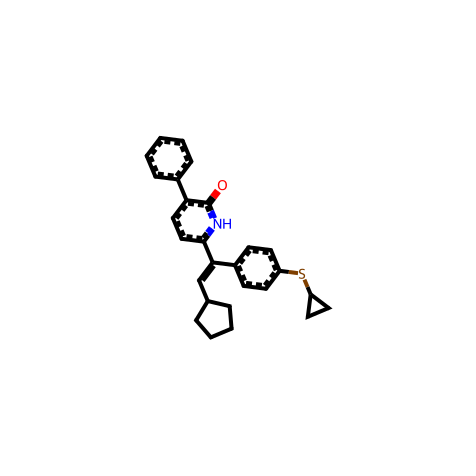 O=c1[nH]c(C(=CC2CCCC2)c2ccc(SC3CC3)cc2)ccc1-c1ccccc1